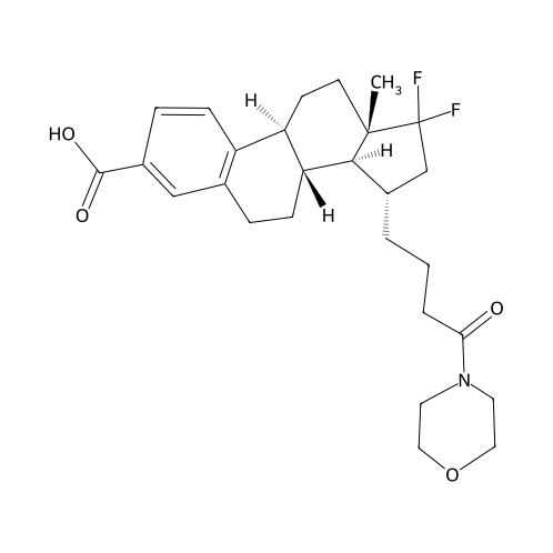 C[C@]12CC[C@@H]3c4ccc(C(=O)O)cc4CC[C@H]3[C@@H]1[C@@H](CCCC(=O)N1CCOCC1)CC2(F)F